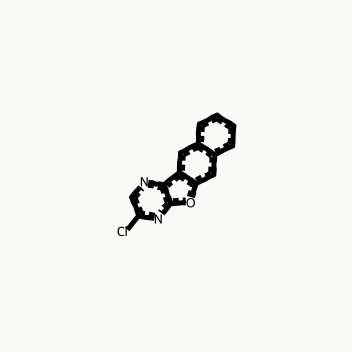 Clc1cnc2c(n1)oc1cc3ccccc3cc12